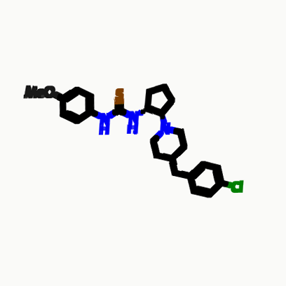 COc1ccc(NC(=S)N[C@@H]2CCC[C@H]2N2CCC(Cc3ccc(Cl)cc3)CC2)cc1